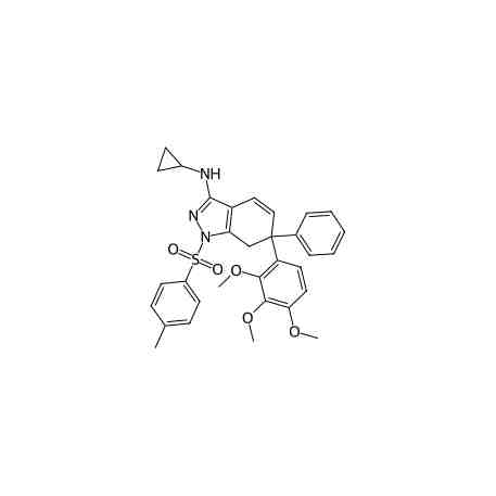 COc1ccc(C2(c3ccccc3)C=Cc3c(NC4CC4)nn(S(=O)(=O)c4ccc(C)cc4)c3C2)c(OC)c1OC